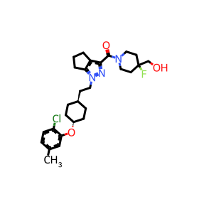 Cc1ccc(Cl)c(O[C@H]2CC[C@H](CCn3nc(C(=O)N4CCC(F)(CO)CC4)c4c3CCC4)CC2)c1